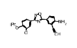 C#Cc1cc(-c2nc(-c3ccc(OC(C)C)c(Cl)c3)no2)ccc1N